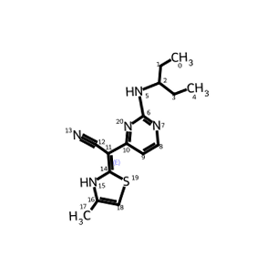 CCC(CC)Nc1nccc(/C(C#N)=C2/NC(C)=CS2)n1